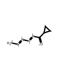 NN=NN=NC(=O)C1CC1